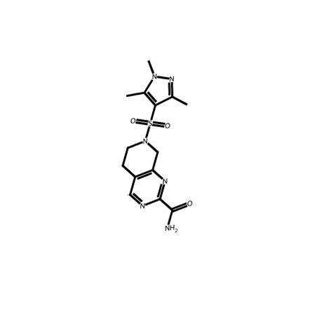 Cc1nn(C)c(C)c1S(=O)(=O)N1CCc2[c]nc(C(N)=O)nc2C1